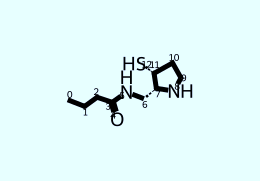 CCCC(=O)NC[C@H]1NCC[C@H]1S